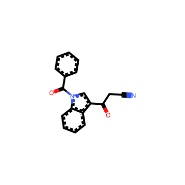 N#CCC(=O)c1cn(C(=O)c2ccccc2)c2ccccc12